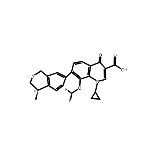 C[C@H]1CNCc2cc(-c3ccc4c(=O)c(C(=O)O)cn(C5CC5)c4c3OC(F)F)ccc21